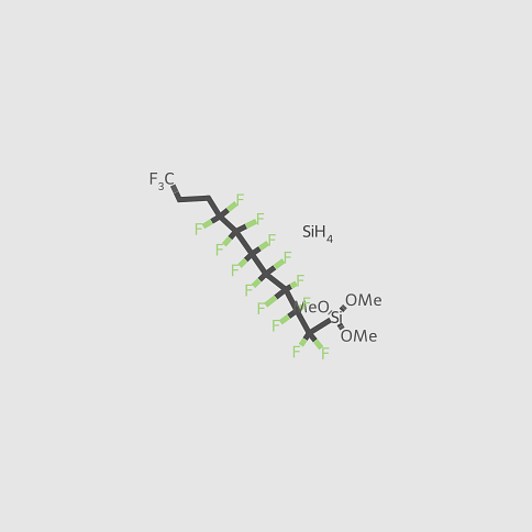 CO[Si](OC)(OC)C(F)(F)C(F)(F)C(F)(F)C(F)(F)C(F)(F)C(F)(F)C(F)(F)CCC(F)(F)F.[SiH4]